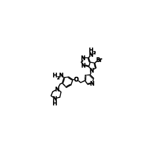 Nc1cc(OCc2cncc(-n3cc(Br)c4c(N)ncnc43)c2)ccc1CN1CCNCC1